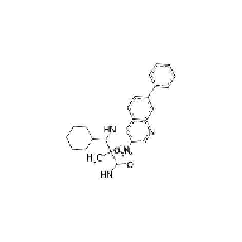 CC(C)(C([NH])=O)C(Nc1c([N+](=O)[O-])cnc2cc(-c3ccccc3)ccc12)C1CCCCC1